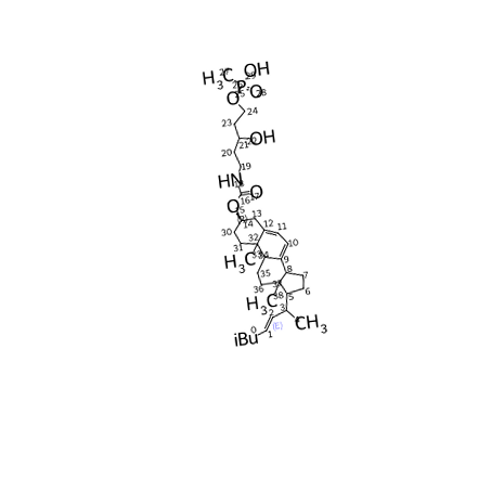 CCC(C)/C=C/C(C)C1CCC2C3=CC=C4C[C@H](OC(=O)NCCC(O)CCOP(C)(=O)O)CCC4(C)C3CCC21C